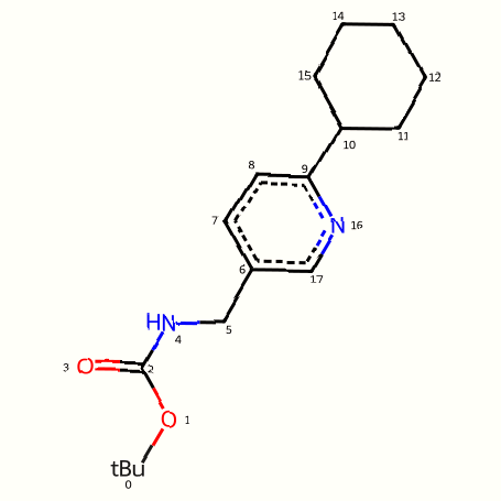 CC(C)(C)OC(=O)NCc1ccc(C2CCCCC2)nc1